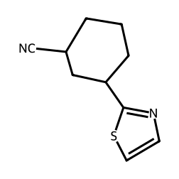 N#CC1CCCC(c2nccs2)C1